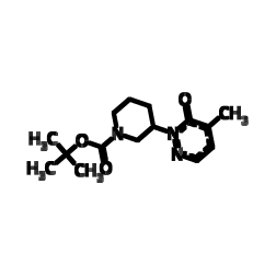 Cc1ccnn(C2CCCN(C(=O)OC(C)(C)C)C2)c1=O